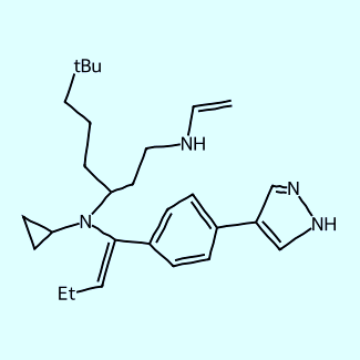 C=CNCCC(CCCC(C)(C)C)N(/C(=C\CC)c1ccc(-c2cn[nH]c2)cc1)C1CC1